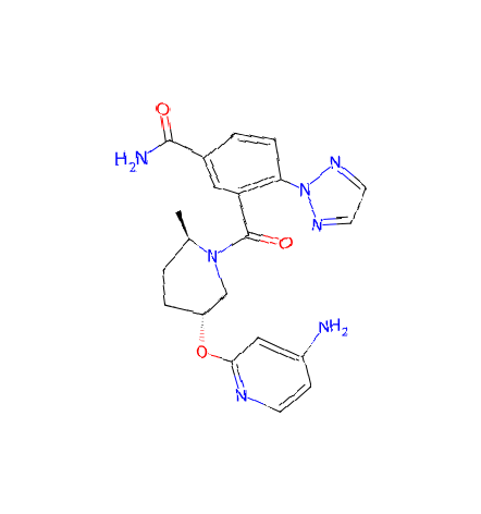 C[C@@H]1CC[C@@H](Oc2cc(N)ccn2)CN1C(=O)c1cc(C(N)=O)ccc1-n1nccn1